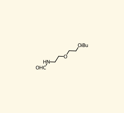 CC(C)COCCOCCNC=O